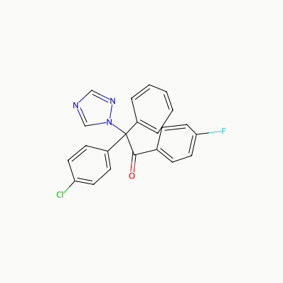 O=C(c1ccc(F)cc1)C(c1ccccc1)(c1ccc(Cl)cc1)n1cncn1